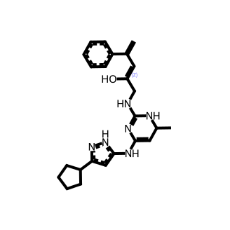 C=C(/C=C(\O)CNC1=NC(Nc2cc(C3CCCC3)n[nH]2)=CC(C)N1)c1ccccc1